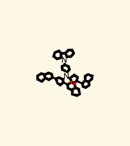 c1ccc2cc(-c3ccc(-c4ccc5ccccc5c4)c(N(c4ccc(-c5cccc6ccccc56)cc4)c4ccc(-n5c6ccccc6c6ccccc65)cc4)c3)ccc2c1